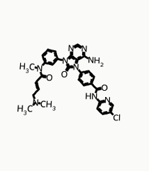 CN(C)CC=CC(=O)N(C)c1cccc(-n2c(=O)n(-c3ccc(C(=O)Nc4ccc(Cl)cn4)cc3)c3c(N)ncnc32)c1